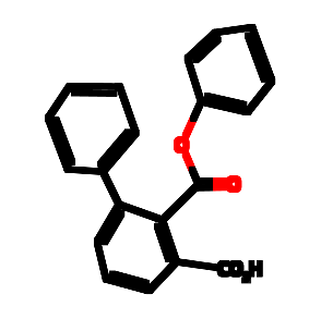 O=C(O)c1cccc(-c2ccccc2)c1C(=O)Oc1ccccc1